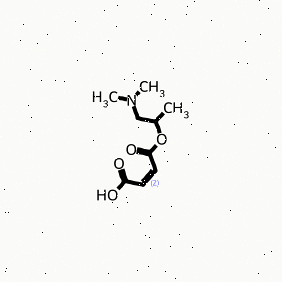 CC(CN(C)C)OC(=O)/C=C\C(=O)O